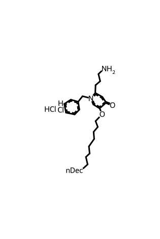 CCCCCCCCCCCCCCCCCCOc1cn(Cc2ccccc2)c(CCCN)cc1=O.Cl.Cl